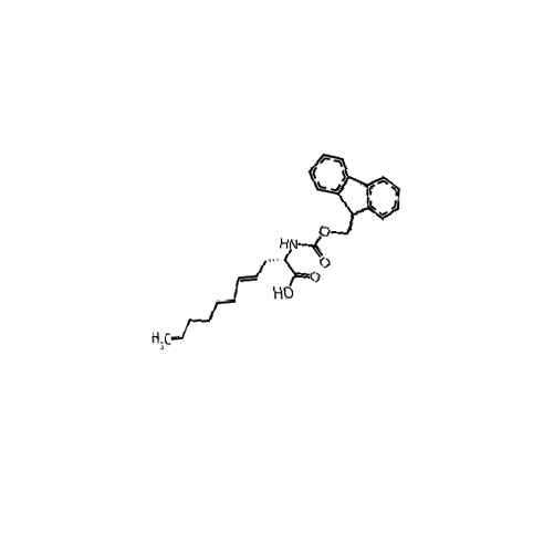 CCCCCCC=CC[C@H](NC(=O)OCC1c2ccccc2-c2ccccc21)C(=O)O